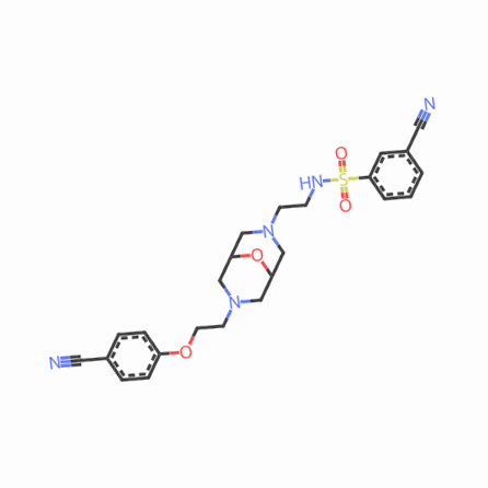 N#Cc1ccc(OCCN2CC3CN(CCNS(=O)(=O)c4cccc(C#N)c4)CC(C2)O3)cc1